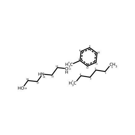 CCCCCC.Cc1ccccc1.OCCNCCO